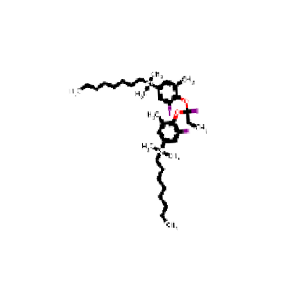 CCCCCCCC[Si](C)(C)c1cc(C)c(OC(I)(CC)Oc2c(C)cc([Si](C)(C)CCCCCCCC)cc2I)c(I)c1